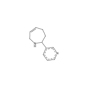 C1=CCNC(c2cccnc2)CC1